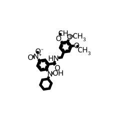 COc1cc(CNC(=O)c2cc([N+](=O)[O-])ccc2N(O)C2CCCCC2)cc(OC)c1OC